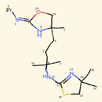 CC(C)/N=C1/NC(C)(CCC(C)(C)NC2=NC(C)(C)CS2)CO1